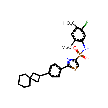 COc1cc(C(=O)O)c(F)cc1NS(=O)(=O)c1csc(-c2ccc(C3CC4(CCCCC4)C3)cc2)n1